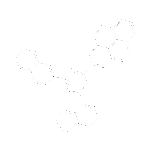 Oc1ccc2ccccc2c1-c1nc(-c2cc3ccc4cccc5ccc(c2)c3c45)nc(-c2ccc3ccccc3c2O)n1